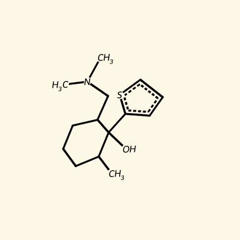 CC1CCCC(CN(C)C)C1(O)c1cccs1